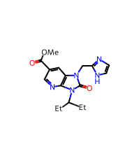 CCC(CC)n1c(=O)n(Cc2ncc[nH]2)c2cc(C(=O)OC)cnc21